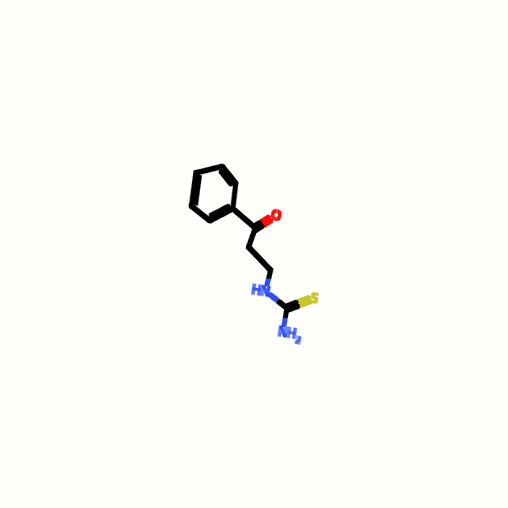 NC(=S)NCCC(=O)c1ccccc1